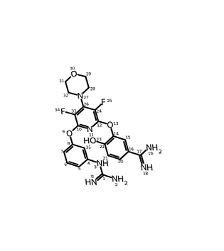 N=C(N)Nc1cccc(Oc2nc(Oc3cc(C(=N)N)ccc3O)c(F)c(N3CCOCC3)c2F)c1